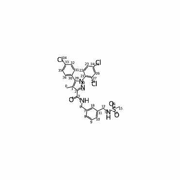 Cc1c(C(=O)NCc2cccc(CNS(C)(=O)=O)c2)nn(-c2ccc(Cl)cc2Cl)c1-c1ccc(Cl)cc1